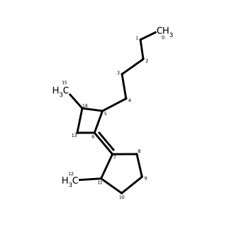 CCCCCC1C(=C2CCCC2C)CC1C